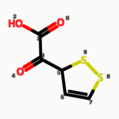 O=C(O)C(=O)C1C=CSS1